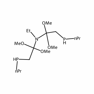 CCCPCC(OC)(OC)N(CC)C(CPCCC)(OC)OC